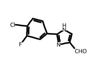 O=Cc1c[nH]c(-c2ccc(Cl)c(F)c2)n1